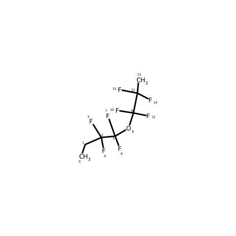 CCC(F)(F)C(F)(F)OC(F)(F)C(C)(F)F